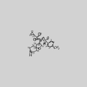 Cc1ccc(S(=O)(=O)ON([C@H]2COC3(CCNCC3)C2)S(=O)(=O)C2CC2)cc1